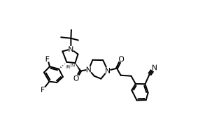 CC(C)(C)N1C[C@@H](C(=O)N2CCN(C(=O)CCc3ccccc3C#N)CC2)[C@H](c2ccc(F)cc2F)C1